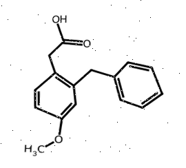 COc1ccc(CC(=O)O)c(Cc2ccccc2)c1